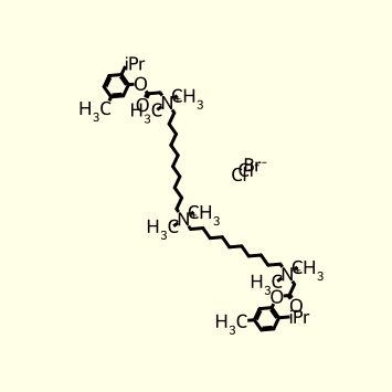 Cc1ccc(C(C)C)c(OC(=O)C[N+](C)(C)CCCCCCCCCC[N+](C)(C)CCCCCCCCCC[N+](C)(C)CC(=O)Oc2cc(C)ccc2C(C)C)c1.[Br-].[Cl-].[Cl-]